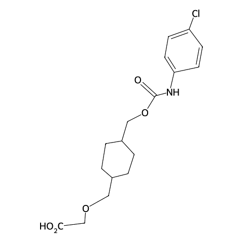 O=C(O)COCC1CCC(COC(=O)Nc2ccc(Cl)cc2)CC1